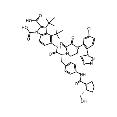 CC(C)(C)c1c(NC(=O)C(Cc2ccc(NC(=O)N3CCC[C@@H]3CO)cc2)N2CCN(c3cc(Cl)ccc3-n3cnnn3)C(=O)C2=O)ccc2c1c(C(C)(C)C)c(C(=O)O)n2C(=O)O